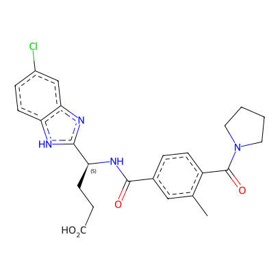 Cc1cc(C(=O)N[C@@H](CCC(=O)O)c2nc3cc(Cl)ccc3[nH]2)ccc1C(=O)N1CCCC1